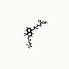 C[Si](C)(C)CCOCn1ccc2c(CCOCCC(=O)O)cccc2c1=O